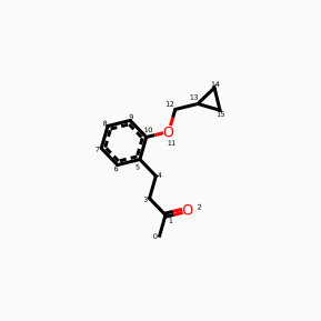 CC(=O)CCc1ccccc1OCC1CC1